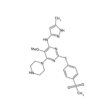 COc1c(Nc2cc(C)[nH]n2)nc(Sc2ccc(S(C)(=O)=O)cc2)nc1N1CCNCC1